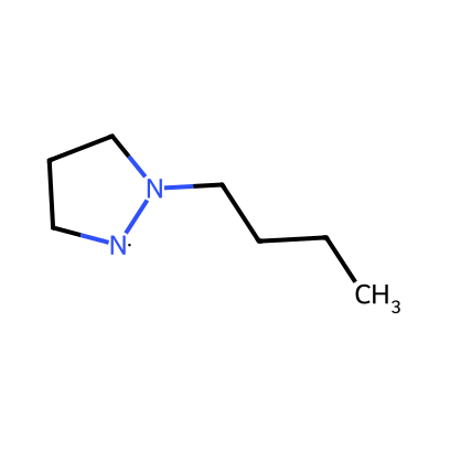 CCCCN1CCC[N]1